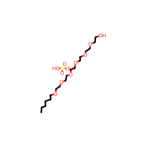 CCCCCCOCCOCCOCCOCCOCCOCCO.O=S(=O)(O)O